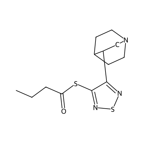 CCCC(=O)Sc1nsnc1C1CN2CCC1CC2